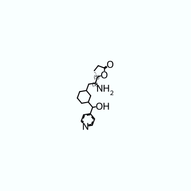 N[C@@H](CC1CCCC(C(O)c2ccncc2)C1)[C@@H]1CCC(=O)O1